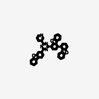 c1cncc(-c2nc(-c3ccc4c(c3)oc3ccccc34)nc(-c3ccc(-c4cccc5oc6ccccc6c45)c4c3oc3ccccc34)n2)c1